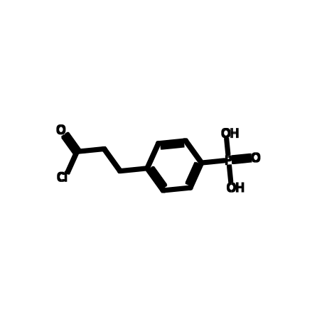 O=C(Cl)CCc1ccc(P(=O)(O)O)cc1